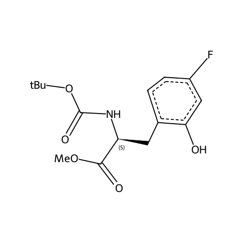 COC(=O)[C@H](Cc1ccc(F)cc1O)NC(=O)OC(C)(C)C